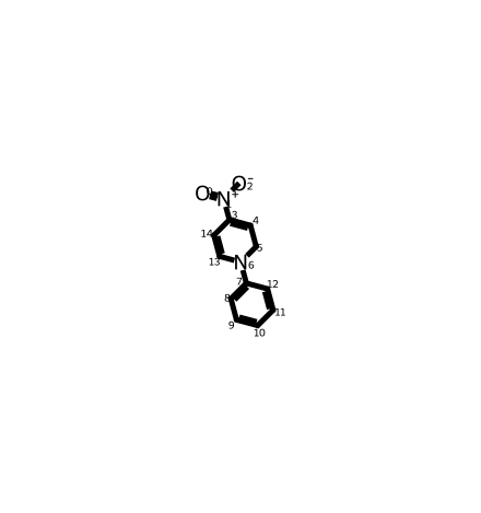 O=[N+]([O-])C1=CCN(c2ccccc2)C=C1